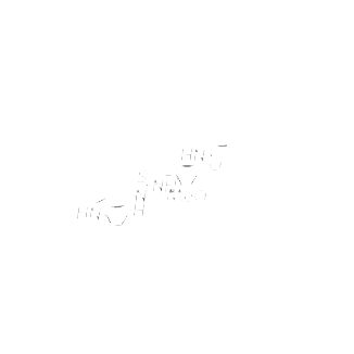 C=CC(=O)Nc1ccc(OC)c(CNC(=S)NCc2cccc3[nH]ccc23)c1